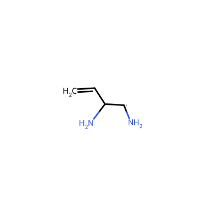 C=CC(N)[CH]N